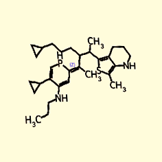 CCCNC1=C/C(=C(\C)C(CCCC2CC2)C(C)c2sc(C)c3c2CCCN3)PC=C1C1CC1